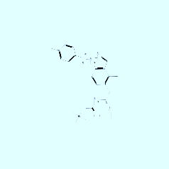 Cc1ccc(S(=O)(=O)n2ncc3c(C)c(C[C@@H](CO)NC(=O)OC(C)(C)C)ccc32)cc1